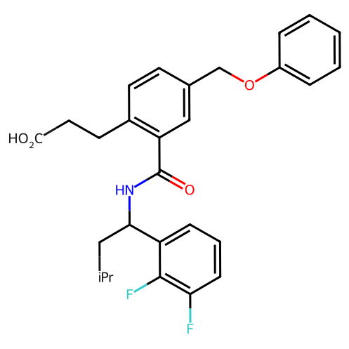 CC(C)CC(NC(=O)c1cc(COc2ccccc2)ccc1CCC(=O)O)c1cccc(F)c1F